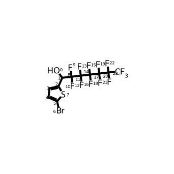 OC(c1ccc(Br)s1)C(F)(F)C(F)(F)C(F)(F)C(F)(F)C(F)(F)C(F)(F)F